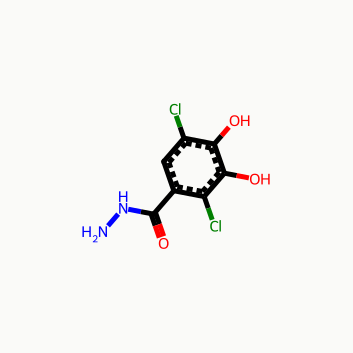 NNC(=O)c1cc(Cl)c(O)c(O)c1Cl